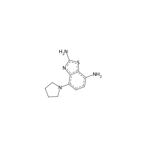 Nc1nc2c(N3CCCC3)ccc(N)c2s1